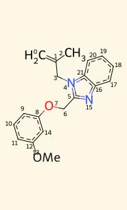 C=C(C)Cn1c(COc2cccc(OC)c2)nc2ccccc21